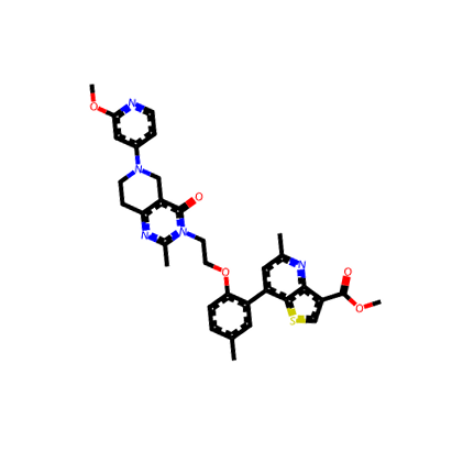 COC(=O)c1csc2c(-c3cc(C)ccc3OCCn3c(C)nc4c(c3=O)CN(c3ccnc(OC)c3)CC4)cc(C)nc12